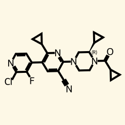 N#Cc1cc(-c2ccnc(Cl)c2F)c(C2CC2)nc1N1CCN(C(=O)C2CC2)[C@H](C2CC2)C1